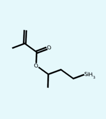 C=C(C)C(=O)OC(C)CC[SiH3]